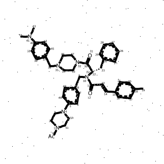 CC(=O)N1CCN(c2ccc(CN(C(=O)C=Cc3ccc(C)cc3)[C@@H](Cc3ccccc3)C(=O)N3CCN(Cc4ccc(N(C)C)cc4)CC3)cc2)CC1